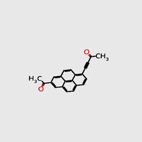 CC(=O)C#Cc1ccc2ccc3cc(C(C)=O)cc4ccc1c2c34